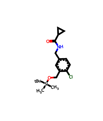 CC(C)(C)[Si](C)(C)OCc1cc(CNC(=O)C2CC2)ccc1Cl